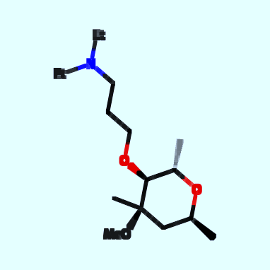 CCN(CC)CCCO[C@H]1[C@H](C)O[C@@H](C)C[C@@]1(C)OC